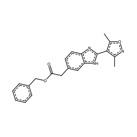 Cc1noc(C)c1-c1nc2ccc(CC(=O)OCc3ccccc3)cc2[nH]1